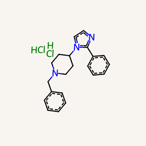 Cl.Cl.c1ccc(CN2CCC(n3ccnc3-c3ccccc3)CC2)cc1